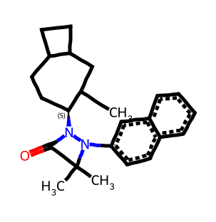 CC1CC2CCC2CC[C@@H]1N1C(=O)C(C)(C)N1c1ccc2ccccc2c1